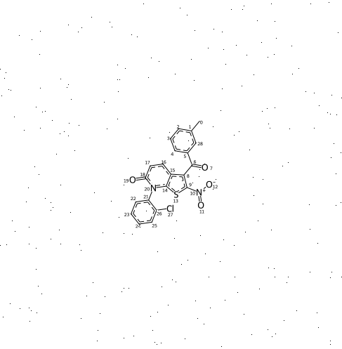 Cc1cccc(C(=O)c2c([N+](=O)[O-])sc3c2ccc(=O)n3-c2ccccc2Cl)c1